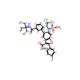 CNC(=O)c1c(-c2ccc(F)cc2)oc2cc(N(CC(F)F)S(C)(=O)=O)c(-c3cccc(C(=O)NC(CF)(CF)CF)c3)cc12